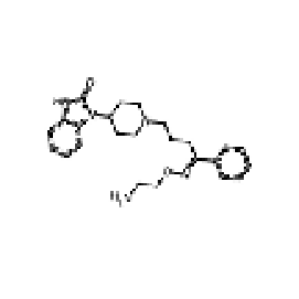 NCCON=C(CCCN1CCC(n2c(=O)[nH]c3ccccc32)CC1)c1ccccc1